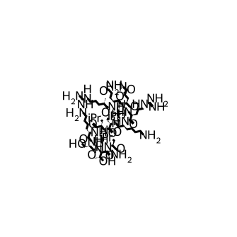 CC(C)C[C@H](NC(=O)[C@@H](NC(=O)[C@H](CO)NC(=O)[C@H](CCCCN)NC(=O)[C@H](CC(C)C)NC(=O)[C@H](CC(C)C)NC(=O)[C@H](CCCCN)NC(=O)[C@H](CCCNC(=N)N)NC(=O)[C@H](CCC(N)=O)NC(=O)[C@H](CCC(N)=O)NC(=O)[C@@H](C)CCCNC(=N)N)[C@@H](C)O)C(N)=O